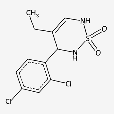 CCC1=CNS(=O)(=O)NC1c1ccc(Cl)cc1Cl